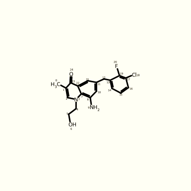 Cc1cn(CCO)c2c(N)cc(Cc3cccc(Cl)c3F)cc2c1=O